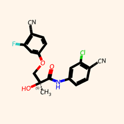 C[C@](O)(COc1ccc(C#N)c(F)c1)C(=O)Nc1ccc(C#N)c(Cl)c1